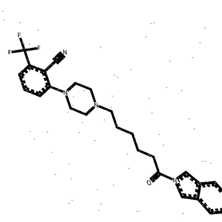 N#Cc1c(N2CCN(CCCCCC(=O)n3cc4ccccc4c3)CC2)cccc1C(F)(F)F